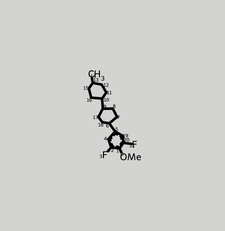 COc1c(F)cc(C2CCC(C3CCC(C)CC3)CC2)cc1F